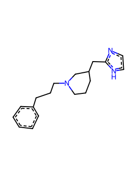 c1ccc(CCCN2CCCC(Cc3ncc[nH]3)C2)cc1